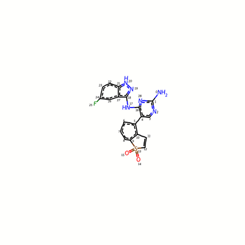 Nc1ncc(-c2cccc3c2C=CS3(=O)=O)c(Nc2n[nH]c3ccc(F)cc23)n1